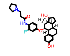 C[C@]12C[C@H](Oc3ccc(NC(=O)CCN4CCCC4)c(F)c3)[C@@H]3c4ccc(O)cc4CC[C@H]3[C@@H]1CC[C@@H]2O